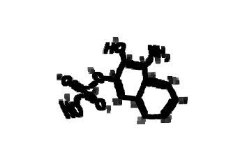 Nc1c(O)c(OS(=O)(=O)O)cc2ccccc12